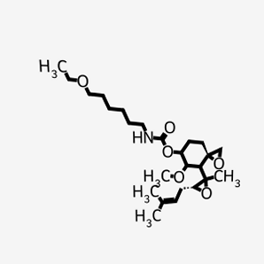 CCOCCCCCCNC(=O)OC1CC[C@]2(CO2)C(C2(C)O[C@@H]2CC=C(C)C)C1OC